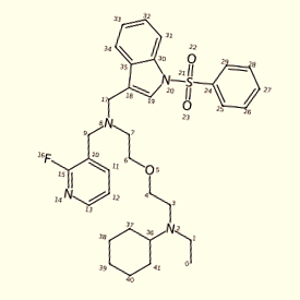 CCN(CCOCCN(Cc1cccnc1F)Cc1cn(S(=O)(=O)c2ccccc2)c2ccccc12)C1CCCCC1